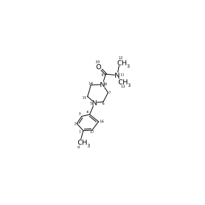 Cc1ccc(N2CCN(C(=O)N(C)C)CC2)cc1